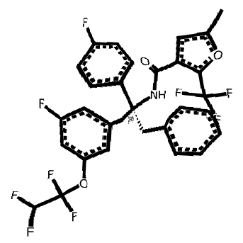 Cc1cc(C(=O)N[C@](Cc2ccccc2)(c2ccc(F)cc2)c2cc(F)cc(OC(F)(F)C(F)F)c2)c(C(F)(F)F)o1